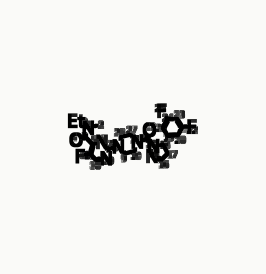 CCN(C)C(=O)c1nc(N2CCN(C(=O)N3N=CC[C@H]3c3cc(F)cc(F)c3)CC2)ncc1F